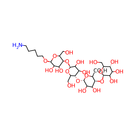 NCCCCCO[C@H]1OC(CO)[C@@H](O[C@@H]2OC(CO)[C@@H](O[C@@H]3OC(C(=O)O)[C@@H](O[C@H]4OC(CO)[C@H](O)C(O)C4O)C(O)C3O)C(O)C2O)C(O)C1O